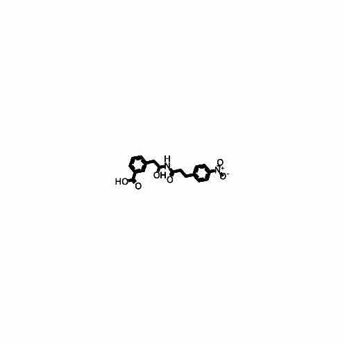 O=C(CCc1ccc([N+](=O)[O-])cc1)NC(O)Cc1cccc(C(=O)O)c1